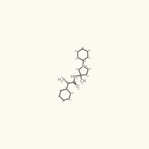 N#CC1(NC(=O)C(N)C2CCCCC2)CCN(C2CCCCC2)C1